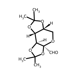 CC1(C)O[C@@H]2[C@@H](CO[C@@]3(C=O)OC(C)(C)O[C@@H]23)O1